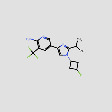 CC(C)c1nc(-c2cnc(N)c(C(F)(F)F)c2)cn1[C@H]1C[C@H](F)C1